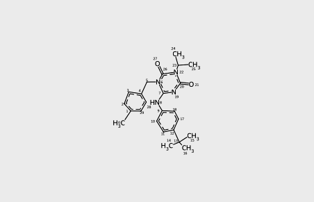 Cc1ccc(Cn2c(Nc3ccc(C(C)(C)C)cc3)nc(=O)n(C(C)C)c2=O)cc1